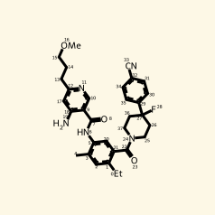 CCc1cc(C)c(NC(=O)c2cnc(CCCOC)cc2N)cc1C(=O)N1CCC(F)(c2ccc(C#N)cc2)CC1